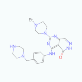 CCN1CCN(c2nc(Nc3ccc(CN4CCNCC4)cc3)c3c(=O)[nH]ncc3n2)CC1